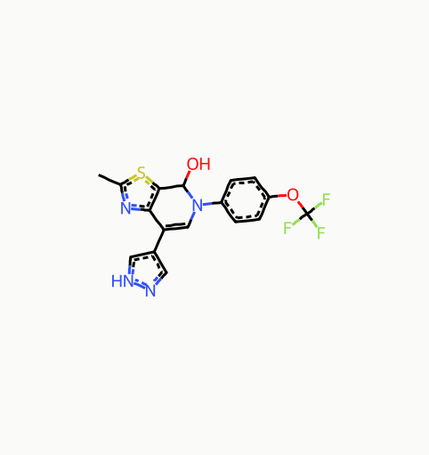 Cc1nc2c(s1)C(O)N(c1ccc(OC(F)(F)F)cc1)C=C2c1cn[nH]c1